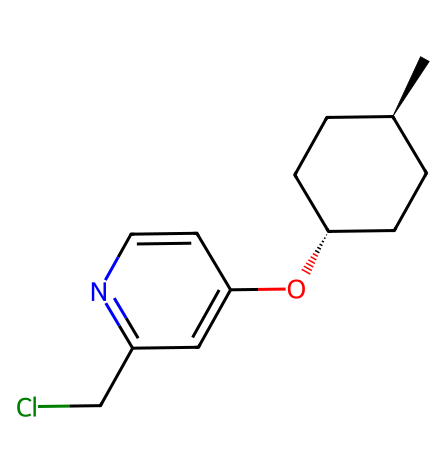 C[C@H]1CC[C@H](Oc2ccnc(CCl)c2)CC1